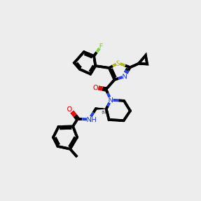 Cc1cccc(C(=O)NC[C@@H]2CCCCN2C(=O)c2nc(C3CC3)sc2-c2ccccc2F)c1